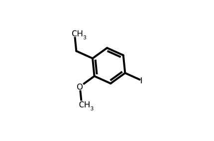 CCc1ccc(I)cc1OC